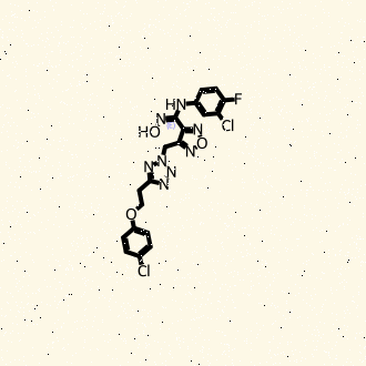 O/N=C(/Nc1ccc(F)c(Cl)c1)c1nonc1Cn1nnc(CCOc2ccc(Cl)cc2)n1